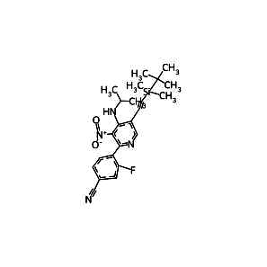 CC(C)Nc1c(C#C[Si](C)(C)C(C)(C)C)cnc(-c2ccc(C#N)cc2F)c1[N+](=O)[O-]